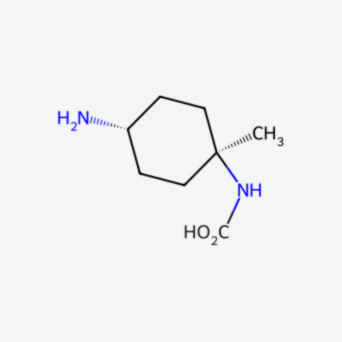 C[C@]1(NC(=O)O)CC[C@H](N)CC1